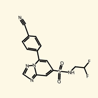 N#Cc1ccc(-c2cc(S(=O)(=O)NCC(F)F)cc3ncnn23)cc1